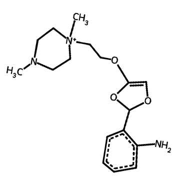 CN1CC[N+](C)(CCOC2=COC(c3ccccc3N)O2)CC1